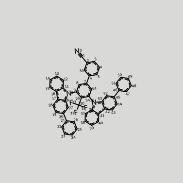 N#Cc1cccc(-c2cc(-n3c4ccccc4c4ccc(-c5ccccc5)cc43)c(C(F)(F)F)c(-n3c4ccccc4c4ccc(-c5ccccc5)cc43)c2)c1